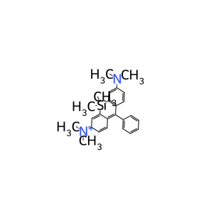 CN(C)c1ccc2c(c1)[Si](C)(C)C1=CC(=[N+](C)C)C=CC1=C2c1ccccc1